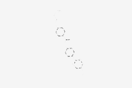 CCCCCCCCOc1cnc(-c2ccc(OC(=O)c3ccc(OC[C@H](CC)OC)cc3)cc2)nc1